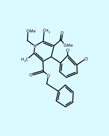 COCN1C(C)=C(C(=O)OC)C(c2cccc(Cl)c2Cl)C(C(=O)OCc2ccccc2)=C1C